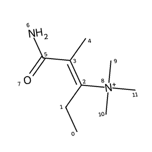 CCC(=C(C)C(N)=O)[N+](C)(C)C